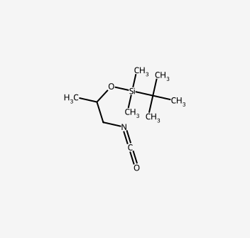 CC(CN=C=O)O[Si](C)(C)C(C)(C)C